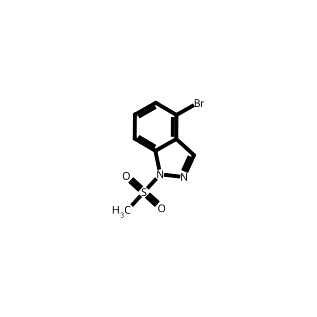 CS(=O)(=O)n1ncc2c(Br)cccc21